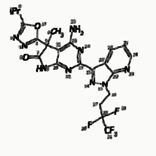 CC(C)c1nnc(C2(C)C(=O)Nc3nc(-c4nn(CCC(F)(F)C(F)(F)F)c5ncccc45)nc(N)c32)o1